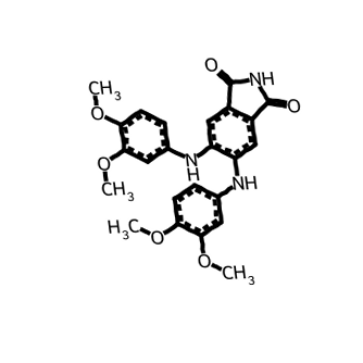 COc1ccc(Nc2cc3c(cc2Nc2ccc(OC)c(OC)c2)C(=O)NC3=O)cc1OC